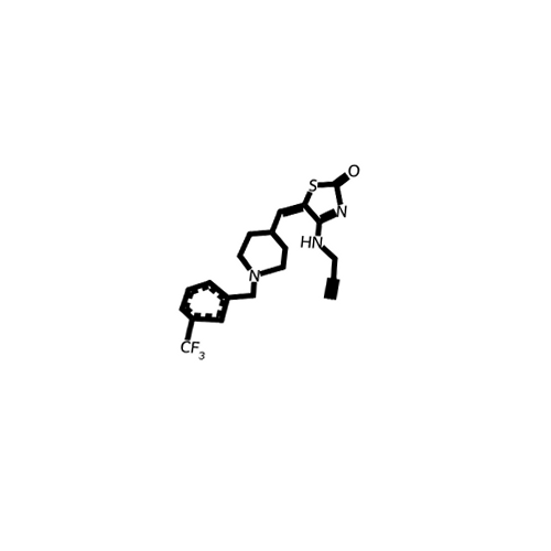 C#CCNC1=NC(=O)SC1=CC1CCN(Cc2cccc(C(F)(F)F)c2)CC1